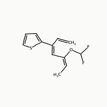 C=C/C(=C\C(=C/C)OC(F)F)c1cccs1